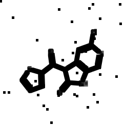 O=C1Nc2cnc(Cl)cc2C1C(=O)c1cccs1